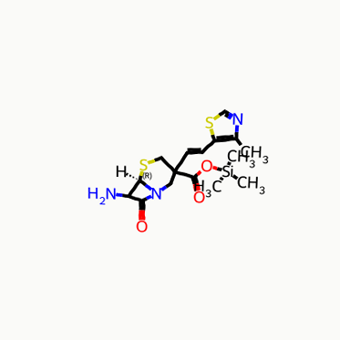 Cc1ncsc1C=CC1(C(=O)O[Si](C)(C)C)CS[C@@H]2C(N)C(=O)N2C1